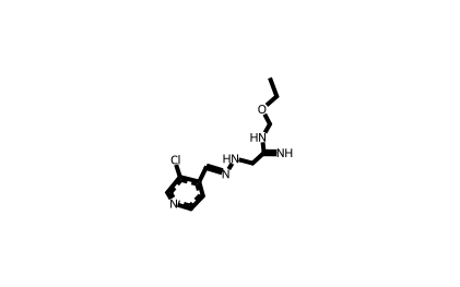 CCOCNC(=N)CN/N=C/c1ccncc1Cl